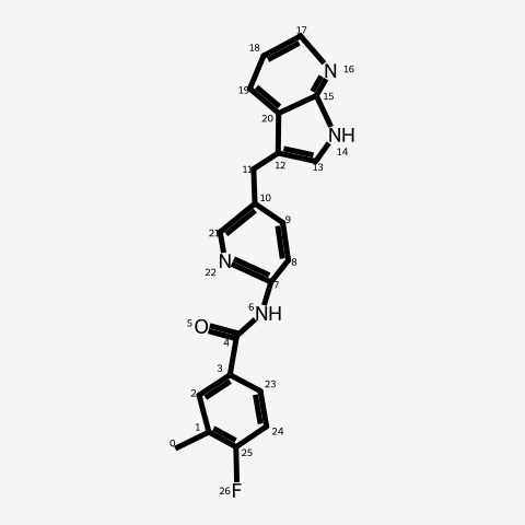 Cc1cc(C(=O)Nc2ccc(Cc3c[nH]c4ncccc34)cn2)ccc1F